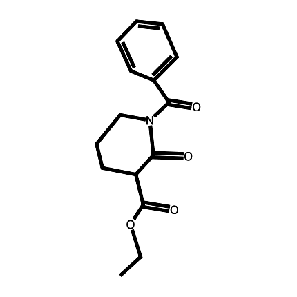 CCOC(=O)C1CCCN(C(=O)c2ccccc2)C1=O